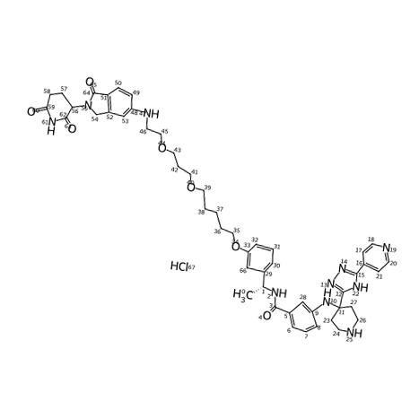 C[C@@H](NC(=O)c1cccc(NC2(c3nnc(-c4ccncc4)[nH]3)CCNCC2)c1)c1cccc(OCCCCCOCCCOCCNc2ccc3c(c2)CN(C2CCC(=O)NC2=O)C3=O)c1.Cl